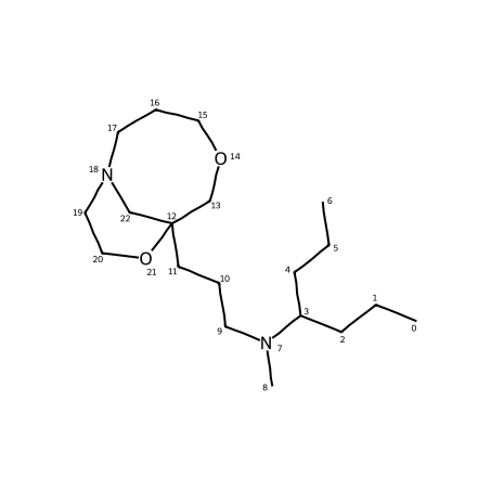 CCCC(CCC)N(C)CCCC12COCCCN(CCO1)C2